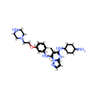 Cc1c(NC2CCC(N)CC2)nc2ccnn2c1Nc1cccc(OCCN2CCNCC2)c1